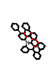 c1ccc(-c2ccc(N(c3ccccc3-c3ccc4ccccc4c3)c3ccccc3-c3cc4ccccc4c4ccccc34)c(-c3ccccc3)c2)cc1